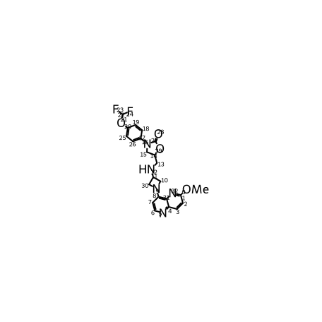 COc1ccc2nccc(N3CC(NCC4CN(c5ccc(OC(F)F)cc5)C(=O)O4)C3)c2n1